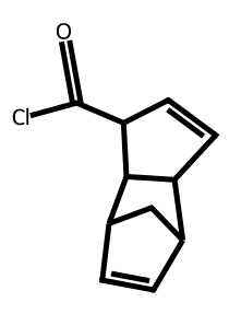 O=C(Cl)C1C=CC2C3C=CC(C3)C12